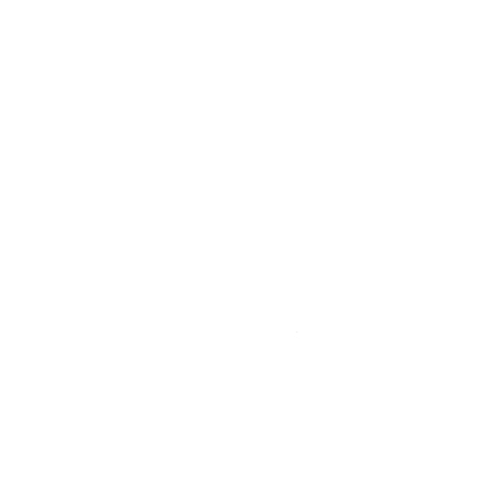 CC(C)c1ccc(-c2ccc([Si](C)(C)C)cc2)cc1C(C)C